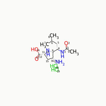 CC(=O)N[C@@H](CC(C)C)[C@H]1N[C@@H](C(=O)O)C[C@H]1N.Cl.Cl